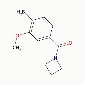 Bc1ccc(C(=O)N2CCC2)cc1OC